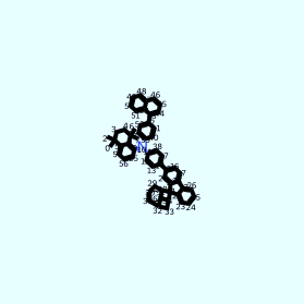 CC1(C)CCC(C)(C)c2c(N(c3ccc(-c4ccc5c(c4)C4(c6ccccc6-5)C5CC6CC7CC4C75C6)cc3)c3ccc(-c4cccc5ccccc45)cc3)cccc21